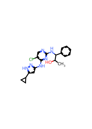 CC(O)C(Nc1ncc(Cl)c(Nc2cc(C3CC3)[nH]n2)n1)c1ccccc1